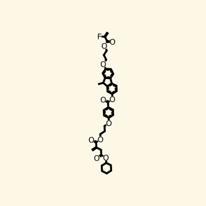 C=C(F)C(=O)OCCCOc1ccc2c(c1)C(C)c1cc(OC(=O)c3ccc(OCCCOC(=O)C(=C)CC(=O)OC4CCCCC4)cc3)ccc1-2